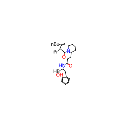 C=C(CCCC)C(C(=O)N1CCCCC1CCC(=O)NC(BO)Cc1ccccc1)C(C)C